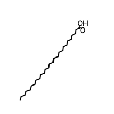 CCCCCCCCCCCCC=CC=CCCCCCCCCCCC(=O)O